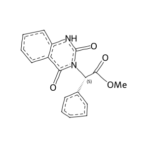 COC(=O)[C@H](c1ccccc1)n1c(=O)[nH]c2ccccc2c1=O